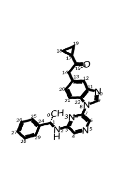 C[C@H](Nc1cncc(-n2cnc3cc(CC(=O)C4CC4)ccc32)n1)c1ccccc1